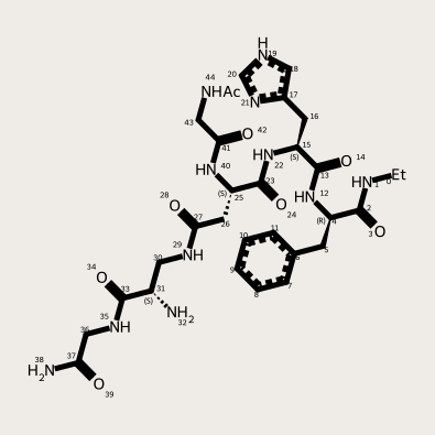 CCNC(=O)[C@@H](Cc1ccccc1)NC(=O)[C@H](Cc1c[nH]cn1)NC(=O)[C@H](CC(=O)NC[C@H](N)C(=O)NCC(N)=O)NC(=O)CNC(C)=O